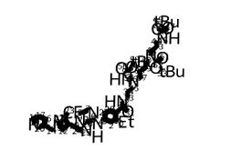 CCc1cc(Nc2nccn3c(-c4cn(Cc5cccnc5)nc4C(F)(F)F)cnc23)ccc1C(=O)NCCCN(CCCCN(CCCNC(=O)OC(C)(C)C)C(=O)OC(C)(C)C)NC(=O)OC(C)(C)C